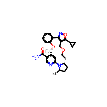 CCC1CC[C@@H](CCOCc2c(-c3ccccc3OC(F)(F)F)noc2C2CC2)N1c1ccc(C(N)=O)cn1